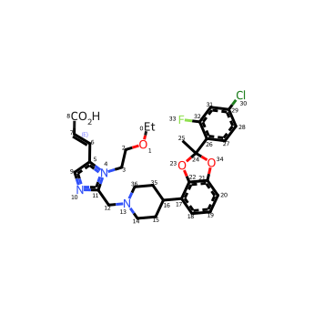 CCOCCn1c(/C=C/C(=O)O)cnc1CN1CCC(c2cccc3c2OC(C)(c2ccc(Cl)cc2F)O3)CC1